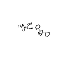 NC(=O)N(O)CC#Cc1cccc(-c2cc(C3=CCCC=C3)on2)c1